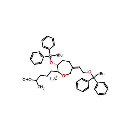 CCCC[Si](O[C@@H]1CCC(=CCO[Si](c2ccccc2)(c2ccccc2)C(C)(C)C)CO[C@@]1(C)CCCC(C)C=O)(c1ccccc1)c1ccccc1